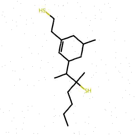 CCCCC(C)(S)C(C)C1C=C(CCS)CC(C)C1